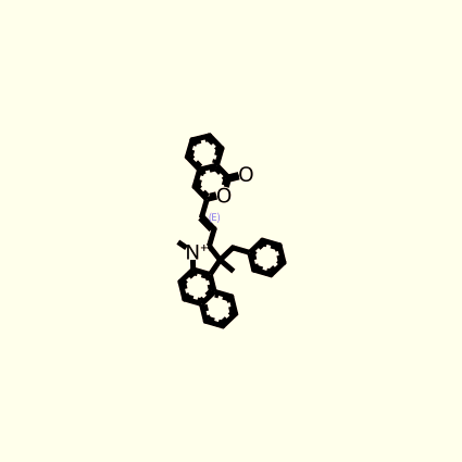 C[N+]1=C(/C=C/c2cc3ccccc3c(=O)o2)C(C)(Cc2ccccc2)c2c1ccc1ccccc21